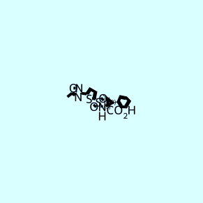 Cc1nc(-c2ccc(S(=O)(=O)N[C@@]3(C(=O)O)[C@H](C)[C@@H]3c3ccccc3)s2)no1